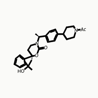 CC(=O)N1CCC(c2ccc([C@H](C)N3CC[C@](CC(C)(C)O)(c4ccccc4)OC3=O)cc2)CC1